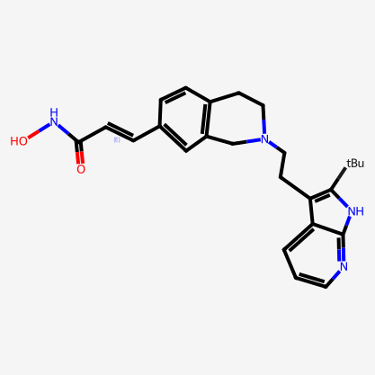 CC(C)(C)c1[nH]c2ncccc2c1CCN1CCc2ccc(/C=C/C(=O)NO)cc2C1